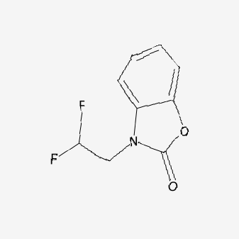 O=c1oc2ccccc2n1CC(F)F